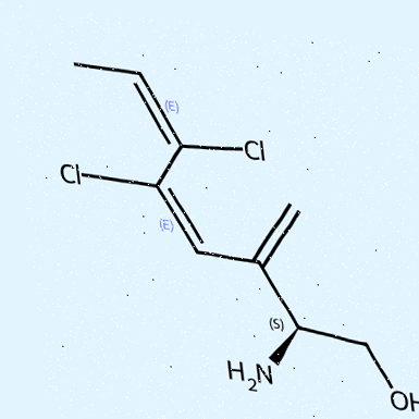 C=C(/C=C(Cl)\C(Cl)=C/C)[C@H](N)CO